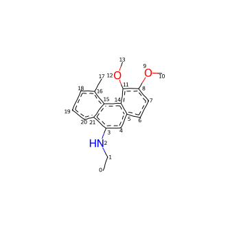 CCNc1cc2ccc(OC)c(OC)c2c2c(C)cccc12